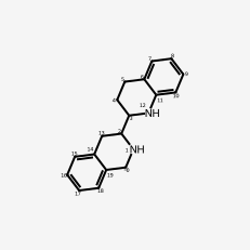 [C]1NC(C2CCc3ccccc3N2)Cc2ccccc21